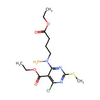 CCOC(=O)CCCN(P)c1nc(SC)nc(Cl)c1C(=O)OCC